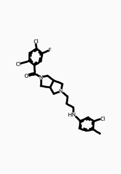 Cc1ccc(NCCCN2CC3CN(C(=O)c4cc(F)c(Cl)cc4Cl)CC3C2)cc1Cl